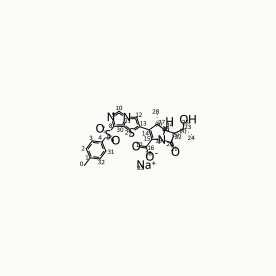 Cc1ccc(S(=O)(=O)c2ncn3cc(C4=C(C(=O)[O-])N5C(=O)[C@H]([C@@H](C)O)[C@H]5[C@H]4C)sc23)cc1.[Na+]